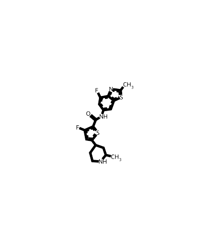 Cc1nc2c(F)cc(NC(=O)c3sc(C4CCNC(C)C4)cc3F)cc2s1